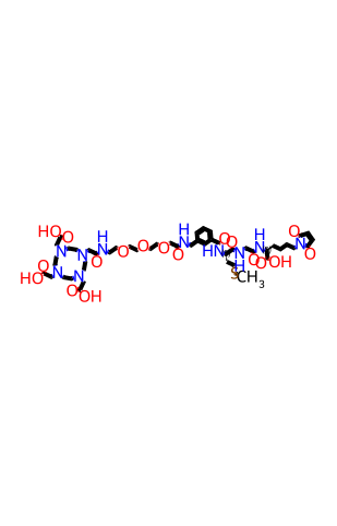 CSCC[C@H](NC(=O)c1cccc(CNC(=O)COCCOCCOCCNC(=O)CN2CCN(CC(=O)O)CCN(CC(=O)O)CCN(CC(=O)O)CC2)c1)C(=O)NCC(=O)N[C@@H](CCCCN1C(=O)C=CC1=O)C(=O)O